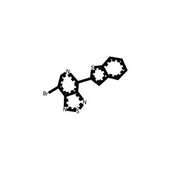 Brc1cnc(-c2cc3ccccc3s2)c2nsnc12